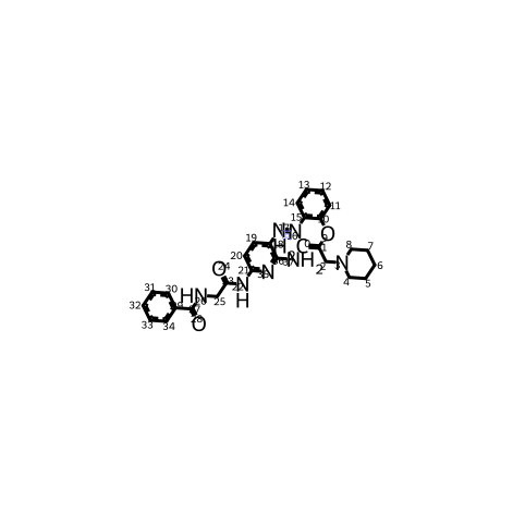 C=C(CN1CCCCC1)Oc1ccccc1/N=N/c1ccc(NC(=O)CNC(=O)c2ccccc2)nc1N